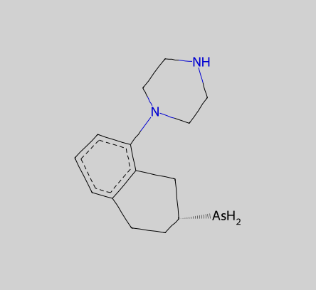 [AsH2][C@@H]1CCc2cccc(N3CCNCC3)c2C1